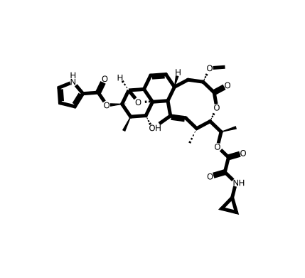 CO[C@H]1C[C@H]2C=CC3C4[C@H](O)[C@@H](C)[C@@H](OC(=O)c5ccc[nH]5)[C@@H]3O[C@]42/C(C)=C/[C@@H](C)[C@@H]([C@@H](C)OC(=O)C(=O)NC2CC2)OC1=O